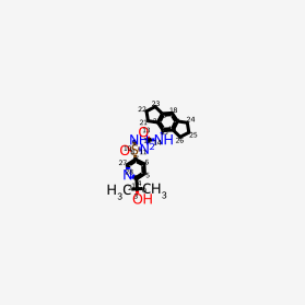 CC(C)(O)c1ccc(S(N)(=O)=NC(=O)Nc2c3c(cc4c2CCC4)CCC3)cn1